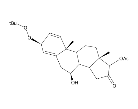 CC(=O)OC1C(=O)CC2C3C(CC[C@]12C)[C@@]1(C)C=C[C@H](OOC(C)(C)C)C=C1C[C@@H]3O